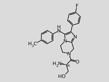 Cc1ccc(Nc2c(-c3ccc(F)cc3)nc3n2CCN(C(=O)[C@H](N)CO)C3)cc1